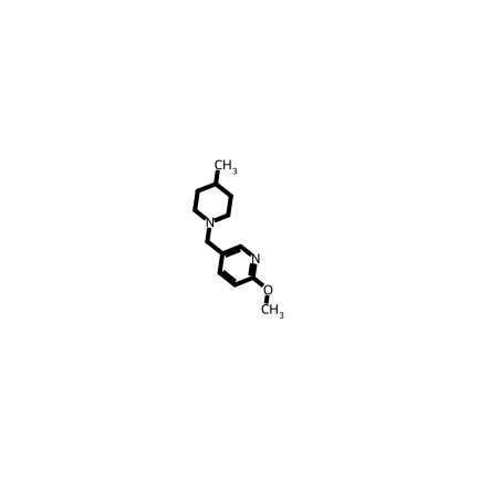 COc1ccc(CN2CCC(C)CC2)cn1